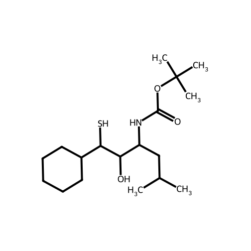 CC(C)CC(NC(=O)OC(C)(C)C)C(O)C(S)C1CCCCC1